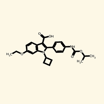 CCOc1ccc2c(C(=O)O)c(-c3ccc(NC(=O)OC(C)C)cc3)n(C3CCC3)c2c1